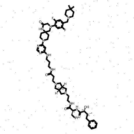 CC(C)C[C@H](NC(=O)[C@@H](O)[C@H](C)Cc1ccccc1)C(=O)NCCN1C[C@@H]2CN(CCC(=O)NCCCNc3cc(N4CCC5(CC4)CN(c4cc(F)c(CN6CCC(C)(C)CC6)cc4F)CC(=O)N5)ncn3)C[C@@H]2C1